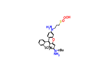 CCCC/[N+](N)=c1/ccc2c(-c3ccccc3S(=O)(=O)O)c3ccc(N(N)CCCSOOO)cc3oc-2c1